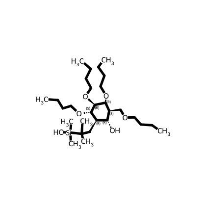 CCCCOC[C@H]1[C@H](O)[C@@H](CC(C)(C)[Si](C)(C)O)[C@H](OCCCC)[C@@H](OCCCC)[C@@H]1OCCCC